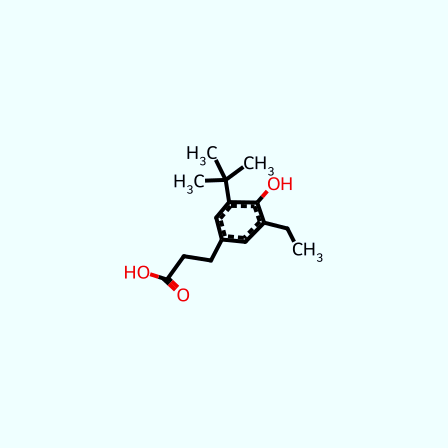 CCc1cc(CCC(=O)O)cc(C(C)(C)C)c1O